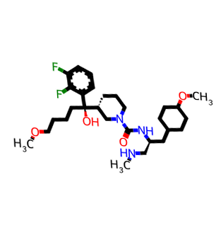 CNC[C@H](CC1CCC(OC)CC1)NC(=O)N1CCC[C@@H]([C@](O)(CCCCOC)c2cccc(F)c2F)C1